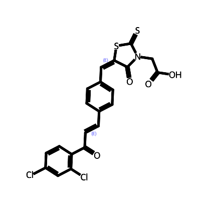 O=C(O)CN1C(=O)/C(=C\c2ccc(/C=C/C(=O)c3ccc(Cl)cc3Cl)cc2)SC1=S